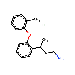 Cc1ccccc1Oc1ccccc1C(C)CCN.Cl